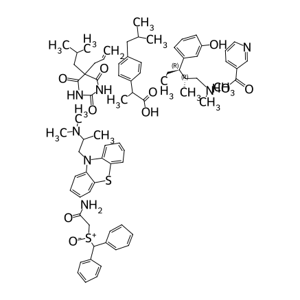 C=CCC1(CC(C)C)C(=O)NC(=O)NC1=O.CC(C)Cc1ccc(C(C)C(=O)O)cc1.CC(CN1c2ccccc2Sc2ccccc21)N(C)C.CC[C@@H](c1cccc(O)c1)[C@@H](C)CN(C)C.NC(=O)C[S+]([O-])C(c1ccccc1)c1ccccc1.O=C(O)c1cccnc1